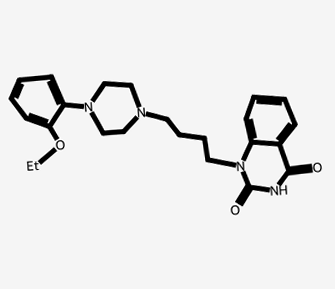 CCOc1ccccc1N1CCN(CCCCn2c(=O)[nH]c(=O)c3ccccc32)CC1